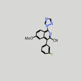 COc1ccc2c(-n3cncn3)nc(C#N)c(-c3cccc(F)c3)c2c1